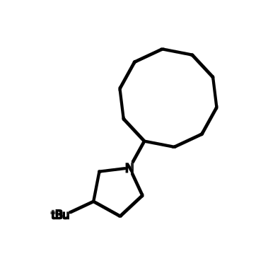 CC(C)(C)C1CCN(C2CCCCCCCCC2)C1